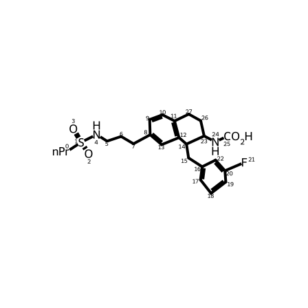 CCCS(=O)(=O)NCCCc1ccc2c(c1)C(Cc1cccc(F)c1)C(NC(=O)O)CC2